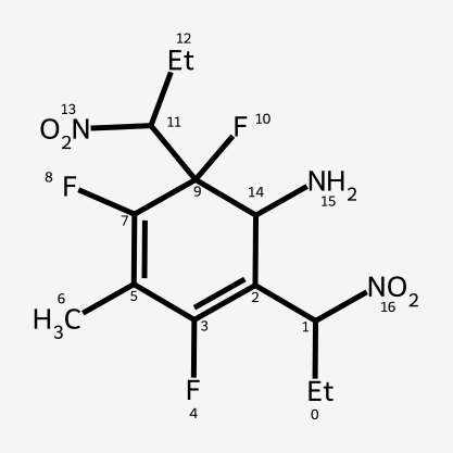 CCC(C1=C(F)C(C)=C(F)C(F)(C(CC)[N+](=O)[O-])C1N)[N+](=O)[O-]